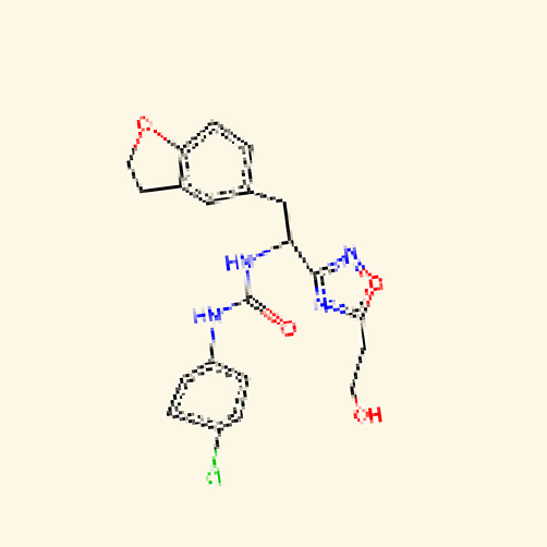 O=C(Nc1ccc(Cl)cc1)NC(Cc1ccc2c(c1)CCO2)c1noc(CCO)n1